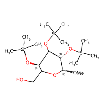 CO[C@H]1OC(CO)[C@@H](O[Si](C)(C)C)C(O[Si](C)(C)C)[C@@H]1O[Si](C)(C)C